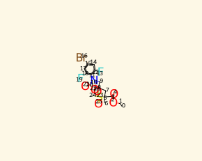 CCOC(=O)C(C)(CC1CN(c2c(F)cc(Br)cc2F)C(=O)O1)S(C)(=O)=O